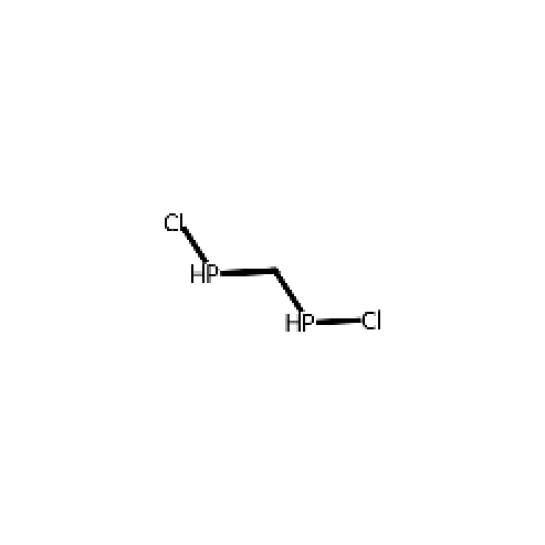 ClPCPCl